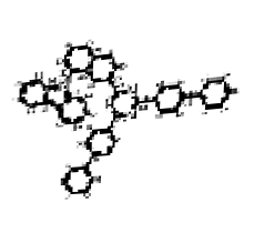 c1ccc(-c2ccc(-c3nc(-c4ccc(-c5ccccc5)cc4)nc(-c4ccc5cccc(-n6c7ccccc7c7ccccc76)c5c4)n3)cc2)cc1